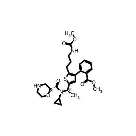 COC(=O)NCCCc1sc([C@@H](C)N(C(=O)[C@H]2CNCCO2)C2CC2)cc1-c1ccccc1C(=O)OC